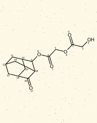 O=C(CO)OCC(=O)OC1C2CC3CC(C2)C(=O)C1C3